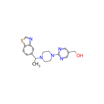 CC(c1ccc2scnc2c1)N1CCN(c2ncc(CO)cn2)CC1